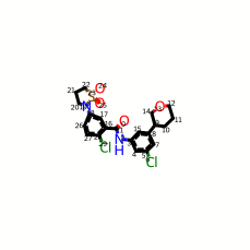 O=C(Nc1cc(Cl)cc(C2CCCOC2)c1)c1cc(N2CCCS2(=O)=O)ccc1Cl